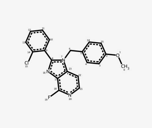 COc1ccc(Cn2c(-c3ccccc3Cl)nc3c(F)nccc32)cc1